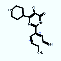 CC/C=C\C(=C/C=N)c1nc(C2CCNCC2)c(Cl)c(=O)[nH]1